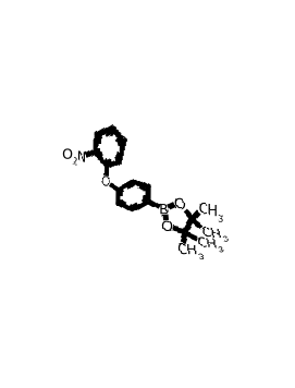 CC1(C)OB(c2ccc(Oc3ccccc3[N+](=O)[O-])cc2)OC1(C)C